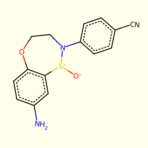 N#Cc1ccc(N2CCOc3ccc(N)cc3[S+]2[O-])cc1